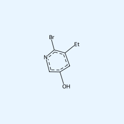 CCc1cc(O)cnc1Br